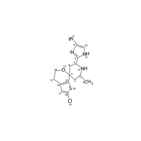 CC1CC2(CC(c3nc(C(C)C)c[nH]3)N1)OCCc1cc(Cl)sc12